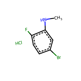 CNc1cc(Br)ccc1F.Cl